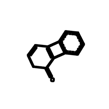 O=C1CC=CC2=C1c1ccccc12